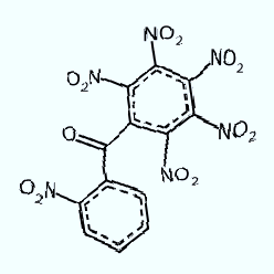 O=C(c1ccccc1[N+](=O)[O-])c1c([N+](=O)[O-])c([N+](=O)[O-])c([N+](=O)[O-])c([N+](=O)[O-])c1[N+](=O)[O-]